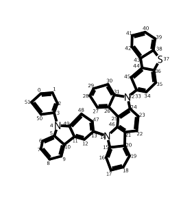 c1ccc(-n2c3ccccc3c3cc(-n4c5ccccc5c5ccc6c(c7ccccc7n6-c6ccc7sc8ccccc8c7c6)c54)ccc32)cc1